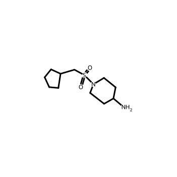 NC1CCN(S(=O)(=O)CC2CCCC2)CC1